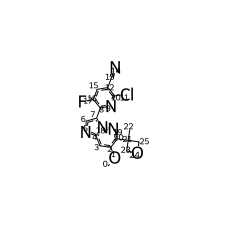 COc1cc2ncc(-c3nc(Cl)c(C#N)cc3F)n2nc1C1(C)COC1